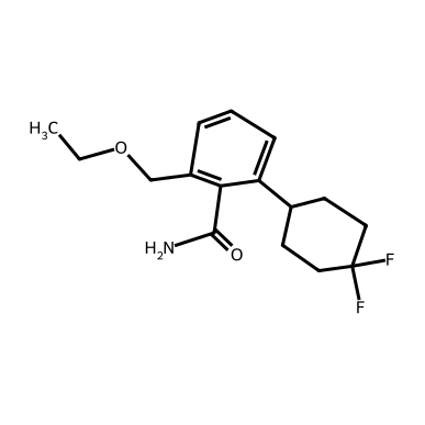 CCOCc1cccc(C2CCC(F)(F)CC2)c1C(N)=O